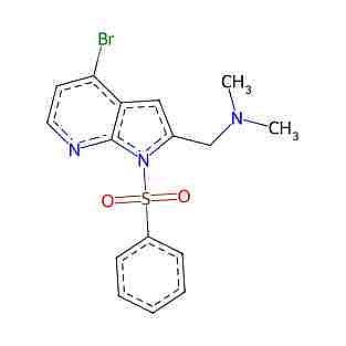 CN(C)Cc1cc2c(Br)ccnc2n1S(=O)(=O)c1ccccc1